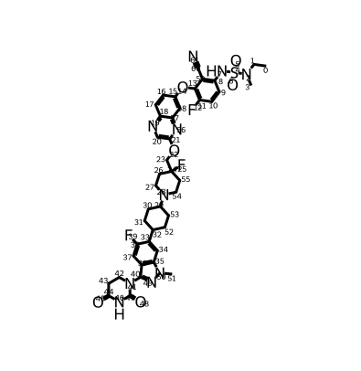 CCN(C)S(=O)(=O)Nc1ccc(F)c(Oc2ccc3ncc(OCC4(F)CCN(C5CCC(c6cc7c(cc6F)c(N6CCC(=O)NC6=O)nn7C)CC5)CC4)nc3c2)c1C#N